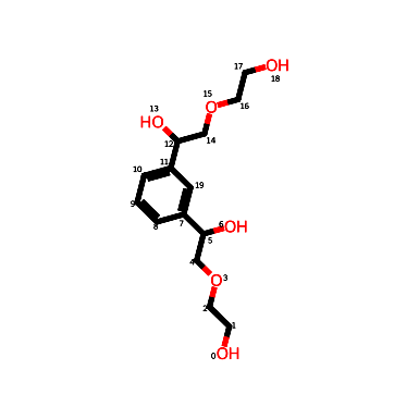 OCCOCC(O)c1cccc(C(O)COCCO)c1